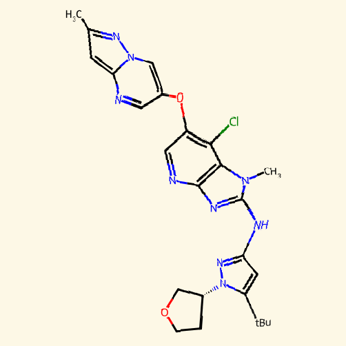 Cc1cc2ncc(Oc3cnc4nc(Nc5cc(C(C)(C)C)n([C@@H]6CCOC6)n5)n(C)c4c3Cl)cn2n1